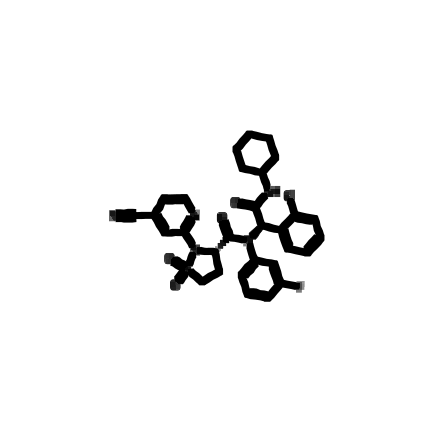 N#Cc1ccnc(N2[C@H](C(=O)N(c3cccc(F)c3)[C@@H](C(=O)NC3CCCCC3)c3ccccc3Cl)CCS2(=O)=O)c1